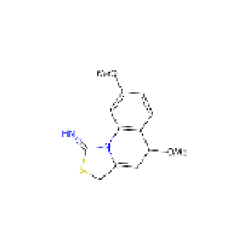 COc1ccc2c(c1)N1C(=N)SCC1=CC2OC